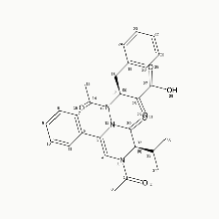 CC(=O)N1C=C(c2ccccc2)N(N(C(C)=O)[C@@H](Cc2ccccc2)C(=O)C(=O)O)C(=O)[C@H]1C(C)C